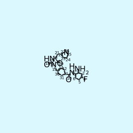 Nc1cc(F)ccc1NC(=O)c1ccc(CN2C(=O)NC(=Cc3cccnc3)C2=O)cc1